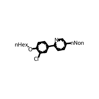 CCCCCCCCCc1ccc(-c2ccc(OCCCCCC)c(Cl)c2)nc1